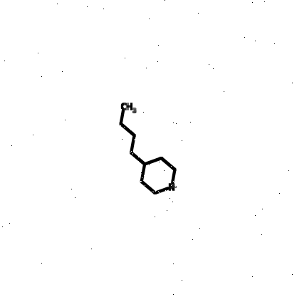 CCCCC1CC[N]CC1